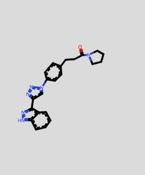 O=C(CCc1ccc(-n2cc(-c3n[nH]c4ccccc34)nn2)cc1)N1CCCC1